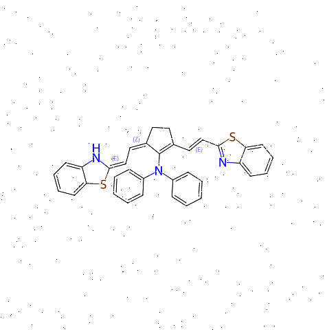 C(/C=C1\Nc2ccccc2S1)=C1\CCC(/C=C/c2nc3ccccc3s2)=C1N(c1ccccc1)c1ccccc1